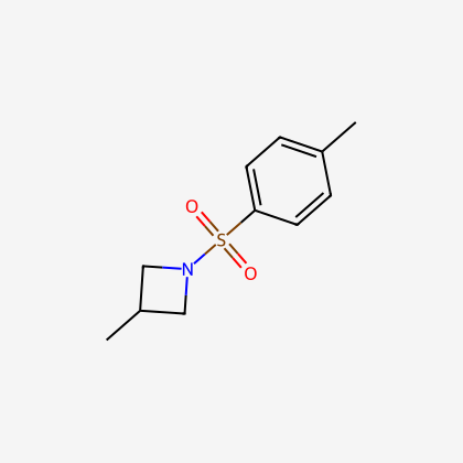 Cc1ccc(S(=O)(=O)N2CC(C)C2)cc1